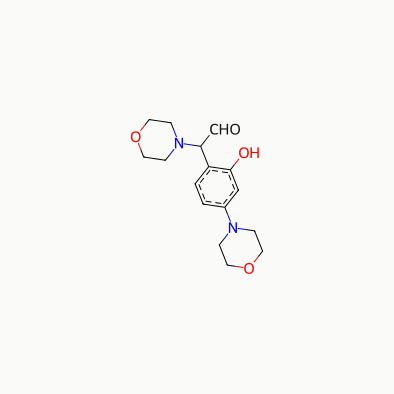 O=CC(c1ccc(N2CCOCC2)cc1O)N1CCOCC1